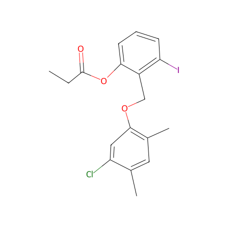 CCC(=O)Oc1cccc(I)c1COc1cc(Cl)c(C)cc1C